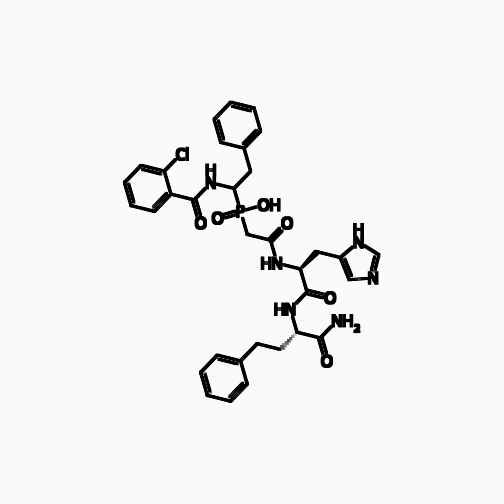 NC(=O)[C@H](CCc1ccccc1)NC(=O)[C@H](Cc1cnc[nH]1)NC(=O)CP(=O)(O)C(Cc1ccccc1)NC(=O)c1ccccc1Cl